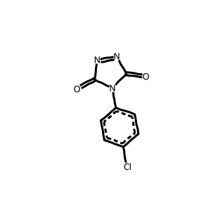 O=C1N=NC(=O)N1c1ccc(Cl)cc1